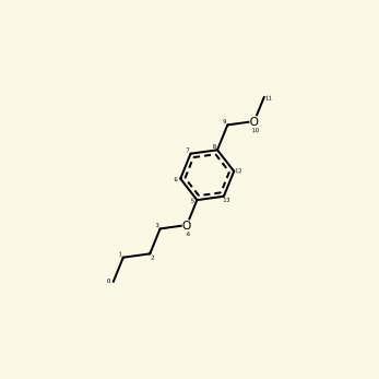 CCCCOc1ccc(COC)cc1